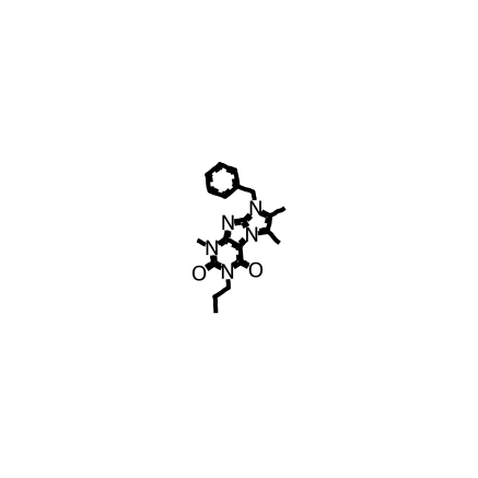 CCCn1c(=O)c2c(nc3n(Cc4ccccc4)c(C)c(C)n23)n(C)c1=O